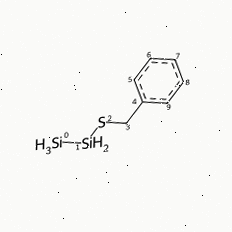 [SiH3][SiH2]SCc1ccccc1